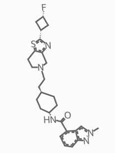 Cn1cc2c(C(=O)N[C@H]3CC[C@H](CCN4CCc5sc([C@H]6C[C@@H](F)C6)nc5C4)CC3)cccc2n1